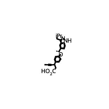 CC#CC(CC(=O)O)c1ccc(O[C@@H](C)c2ccc3[nH]nc(CC(C)C)c3c2)cc1